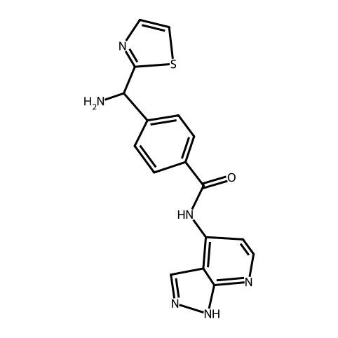 NC(c1ccc(C(=O)Nc2ccnc3[nH]ncc23)cc1)c1nccs1